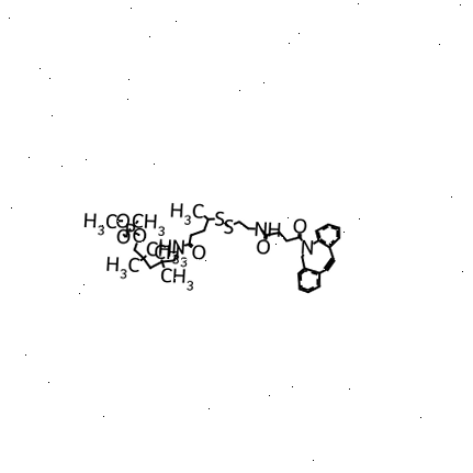 COP(C)(=O)OCC(C)(C)CC(C)(C)CNC(=O)CCC(C)SSCCNC(=O)CCC(=O)N1Cc2ccccc2C#Cc2ccccc21